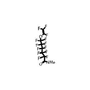 CNC(=O)C(F)(F)C(F)(F)C(F)(F)C(F)(F)C(F)(F)OC(F)=C(F)F